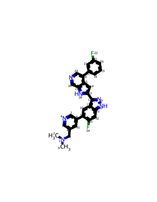 CN(C)Cc1cncc(-c2cc3c(-c4cc5c(-c6cccc(F)c6)cncc5[nH]4)n[nH]c3cc2F)c1